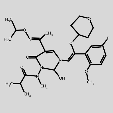 COc1ccc(F)cc1/C(=C/N1C=C(/C(C)=N/OC(C)C)C(=O)N(N(C)C(=O)C(C)C)C1O)OC1CCOCC1